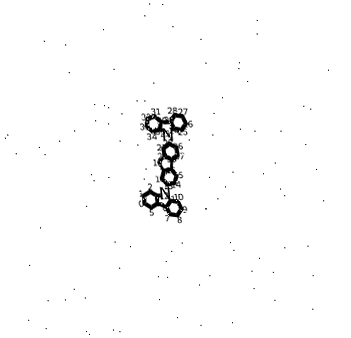 c1ccc2c(c1)c1ccccc1n2-c1ccc2c(c1)Cc1cc(-n3c4ccccc4c4ccccc43)ccc1-2